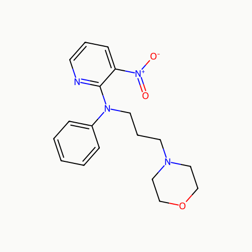 O=[N+]([O-])c1cccnc1N(CCCN1CCOCC1)c1ccccc1